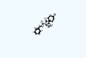 O=C1CCC(C(=O)OC(=O)OCc2ccccc2)(C2OCO2)CC1